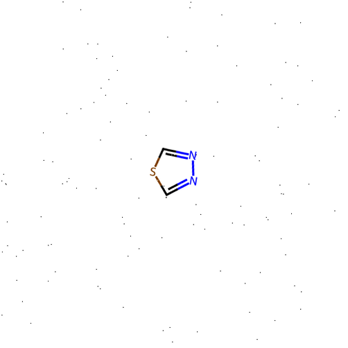 [c]1nncs1